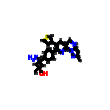 Cc1cc2ncc3cc(-c4ccsc4)c(-c4ccc(C5(N)CC(C)(O)C5)cc4)nc3n2n1